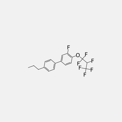 CCCc1ccc(-c2ccc(OC(F)(F)C(F)C(F)(F)F)c(F)c2)cc1